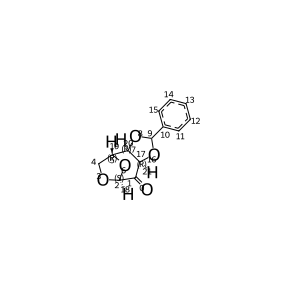 O=C1[C@H]2OC[C@@H](O2)[C@H]2OC(c3ccccc3)O[C@@H]12